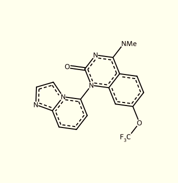 CNc1nc(=O)n(-c2cccc3nccn23)c2cc(OC(F)(F)F)ccc12